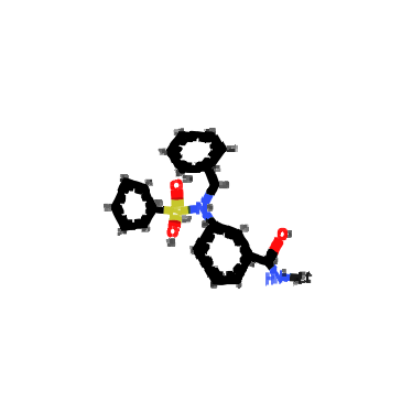 CCNC(=O)c1cccc(N(Cc2ccccc2)S(=O)(=O)c2ccccc2)c1